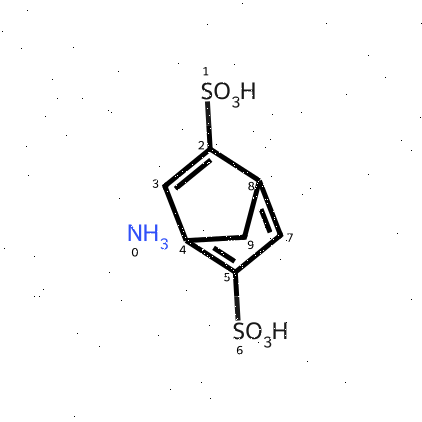 N.O=S(=O)(O)C1=CC2=C(S(=O)(=O)O)C=C1C2